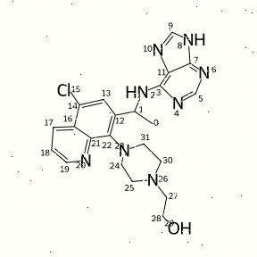 CC(Nc1ncnc2[nH]cnc12)c1cc(Cl)c2cccnc2c1N1CCN(CCO)CC1